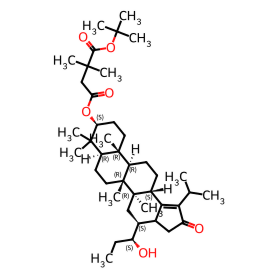 CC[C@H](O)[C@H]1C[C@]2(C)[C@H](CC[C@@H]3[C@@]4(C)CC[C@H](OC(=O)CC(C)(C)C(=O)OC(C)(C)C)C(C)(C)[C@@H]4CC[C@]32C)C2=C(C(C)C)C(=O)CC21